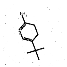 CC(C)(C)C1=CC=C(N)CC1